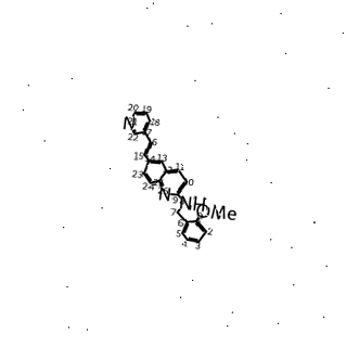 COc1ccccc1CNc1ccc2cc(C=Cc3cccnc3)ccc2n1